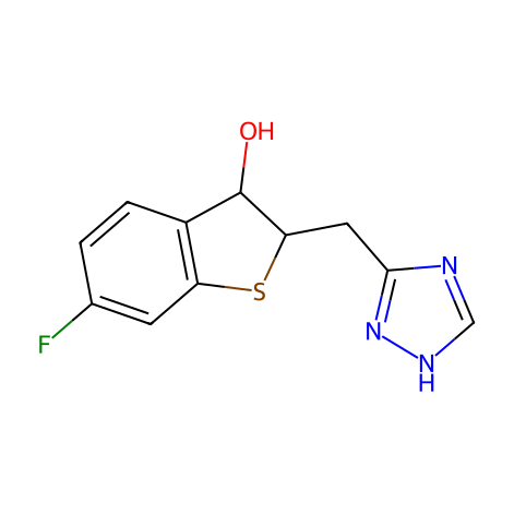 OC1c2ccc(F)cc2SC1Cc1nc[nH]n1